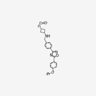 CC(C)Oc1ccc(-c2nc(-c3ccc(CNC4CC(OC=O)C4)cc3)no2)cc1